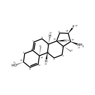 C[C@]12CC[C@H]3[C@@H](CC=C4C[C@@H](O)C=C[C@@]43C)[C@@H]1C[C@@H](F)[C@H]2N